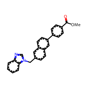 COC(=O)c1ccc(-c2ccc3cc(Cn4cnc5ccccc54)ccc3c2)cc1